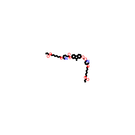 C=CC(=O)OCCCCCCOc1ccc(OCOc2ccc3c(c2)C(C)c2cc(OC(=O)c4ccc(OCCCCCCOC(=O)C=C)cn4)ccc2-3)nc1